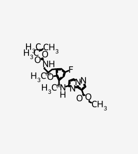 CCOC(=O)c1cnn2ccc(N[C@H](C)c3cc(F)cc4c3O[C@@](C)(CNC(=O)OC(C)(C)C)C4)nc12